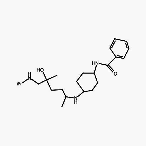 CC(C)NCC(C)(O)CCC(C)NC1CCC(NC(=O)c2ccccc2)CC1